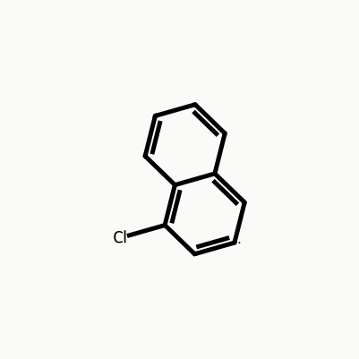 Clc1c[c]cc2ccccc12